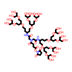 O=C(CN(CC(=O)NC(CCCOC(CCOC(CO)CO)CCOC(CO)CO)CCOC(CCOC(CO)CO)CCOC(CO)CO)C(=O)CCC(=O)ON1C(=O)CCC1=O)NC(CCCOC(CCOC(CO)CO)CCOC(CO)CO)CCOC(CCOC(CO)CO)CCOC(CO)CO